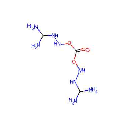 NC(N)NNOC(=O)ONNC(N)N